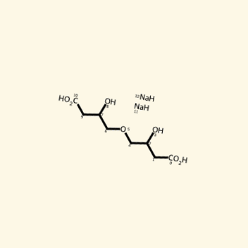 O=C(O)CC(O)COCC(O)CC(=O)O.[NaH].[NaH]